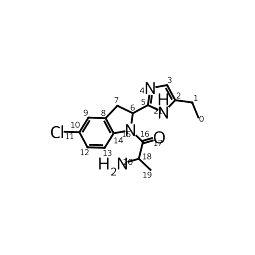 CCc1cnc(C2Cc3cc(Cl)ccc3N2C(=O)C(C)N)[nH]1